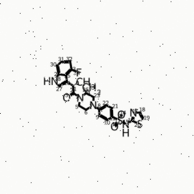 C[C@H](C(=O)N1CCN(c2ccc(S(=O)(=O)Nc3nccs3)cc2)C[C@@H]1C)c1c[nH]c2cccc(F)c12